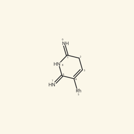 N=C1CC=[C]([Rh])C(=N)N1